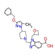 Cc1cc(OCc2ccccc2)nn1C1CCN(Cc2nc3ccc(C(=O)O)cc3n2CC2CCO2)CC1